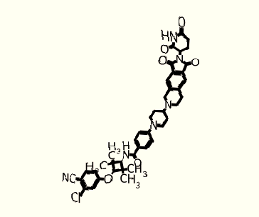 CC1(C)[C@H](NC(=O)c2ccc(N3CCC(N4CCc5cc6c(cc5C4)C(=O)N(C4CCC(=O)NC4=O)C6=O)CC3)cc2)C(C)(C)[C@H]1Oc1ccc(C#N)c(Cl)c1